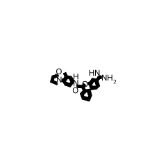 Cc1cc(NC(=O)C(Oc2cccc(C(=N)N)c2)c2ccccc2)ccc1N1CCCC1=O